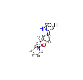 CC(NS(=O)(=O)O)c1ccc2c(c1)C(C)(C)C(N1CCCCC1)O2